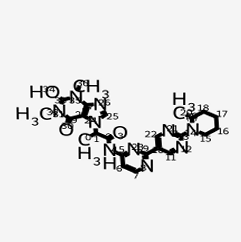 CC(C(=O)Nc1ccnc(-c2cnc(N3CCCC[C@@H]3C)nc2)n1)n1cnc2c1C(=O)N(C)C(O)N2C